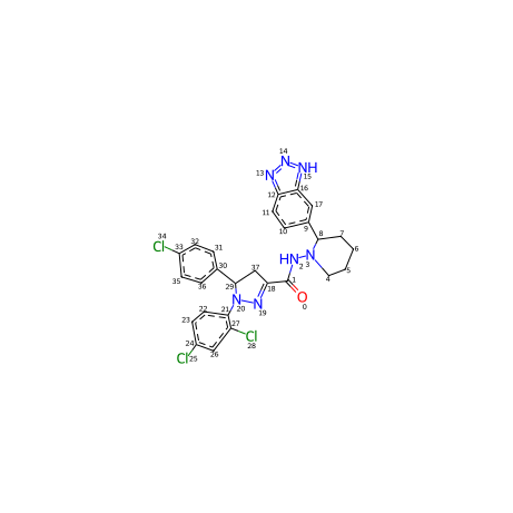 O=C(NN1CCCCC1c1ccc2nn[nH]c2c1)C1=NN(c2ccc(Cl)cc2Cl)C(c2ccc(Cl)cc2)C1